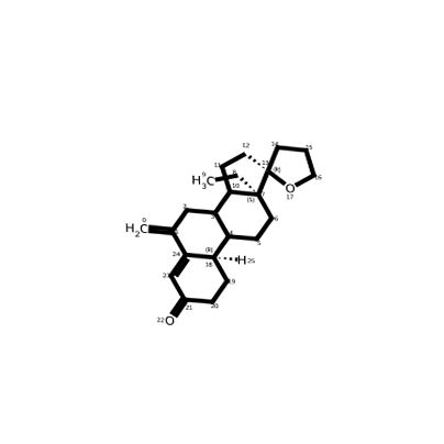 C=C1CC2C(CC[C@@]3(CC)C2CC[C@@]32CCCO2)[C@H]2CCC(=O)C=C12